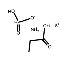 CCC(=O)O.N.O=[PH]([O-])O.[K+]